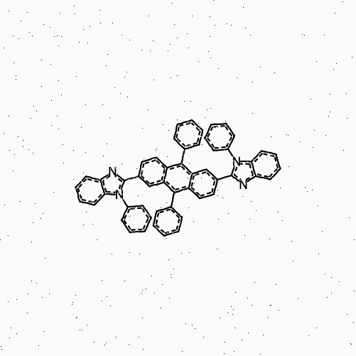 c1ccc(-c2c3ccc(-c4nc5ccccc5n4-c4ccccc4)cc3c(-c3ccccc3)c3ccc(-c4nc5ccccc5n4-c4ccccc4)cc23)cc1